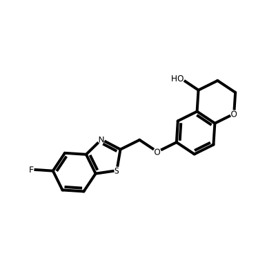 OC1CCOc2ccc(OCc3nc4cc(F)ccc4s3)cc21